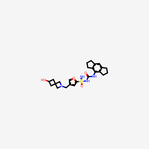 N=S(=O)(NC(=O)Nc1c2c(cc3c1CCC3)CCC2)c1cc(CN2CC3(CC(O)C3)C2)co1